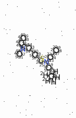 [2H]c1c([2H])c([2H])c(-c2ccc(N(c3ccc(-c4ccccc4)cc3)c3ccc(-c4ccc(-c5ccc6c7c8ccccc8ccc7n(-c7ccccc7)c6c5)cc4)s3)cc2)c([2H])c1[2H]